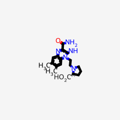 Cc1cc2nc(C(N)=O)c(=N)n(CCN3CCC[C@@H]3C(=O)O)c2cc1C